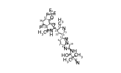 Cc1ncc(-c2ccc3nc(NC(O)C(C)(C)C#N)cn3n2)cc1C(=O)N[C@H](C)c1cc(OC(F)(F)F)ccc1F